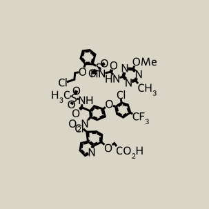 COc1nc(C)nc(NC(=O)NS(=O)(=O)c2ccccc2OCCCl)n1.CS(=O)(=O)NC(=O)c1cc(Oc2ccc(C(F)(F)F)cc2Cl)ccc1[N+](=O)[O-].O=C(O)COc1ccc(Cl)c2cccnc12